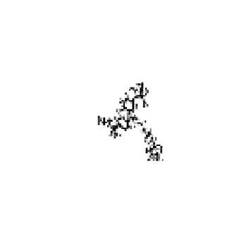 Cc1ccc(-c2c(C)noc2C)cc1N(CCCCCOCC(=O)OC(C)(C)C)c1ccc(C2(C#N)CC2)cc1